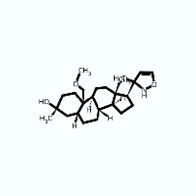 COC[C@]12CC[C@@](C)(O)C[C@H]1CC[C@H]1[C@@H]3CC[C@H](C4(C)C=CON4)[C@@]3(C)CC[C@@H]12